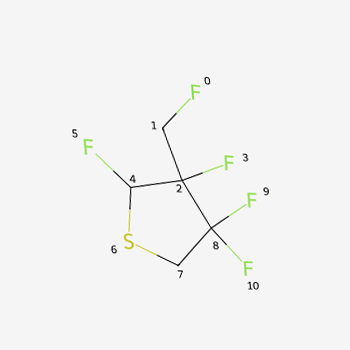 FCC1(F)C(F)SCC1(F)F